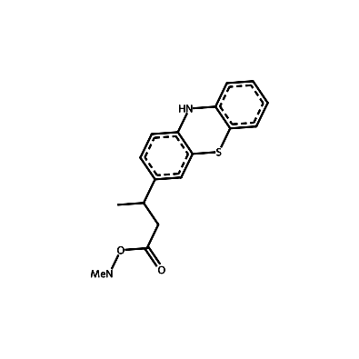 CNOC(=O)CC(C)c1ccc2c(c1)Sc1ccccc1N2